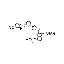 COCCn1c(C2CCc3cc(-c4cccc(OCc5ccc(C#N)cc5F)n4)ccc32)nc2c(C(=O)O)cccc21